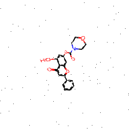 O=C(Oc1cc(O)c2c(=O)cc(-c3ccccc3)oc2c1)N1CCOCC1